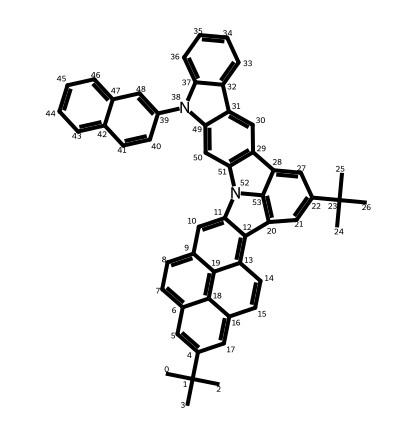 CC(C)(C)c1cc2ccc3cc4c(c5ccc(c1)c2c35)c1cc(C(C)(C)C)cc2c3cc5c6ccccc6n(-c6ccc7ccccc7c6)c5cc3n4c21